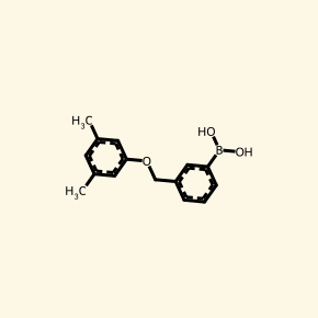 Cc1cc(C)cc(OCc2cccc(B(O)O)c2)c1